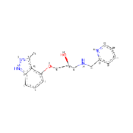 Cc1n[nH]c2cccc(OC[C@@H](O)CNCc3ccccn3)c12